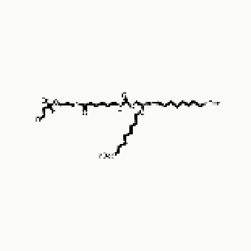 CCCCCCCCCCCCCCCCCCOC[C@H](COC(=O)NCCCCCC(=O)NCCCOC(CC)(CC)CCO)OCCCCCCCCCCCCCCCCCC